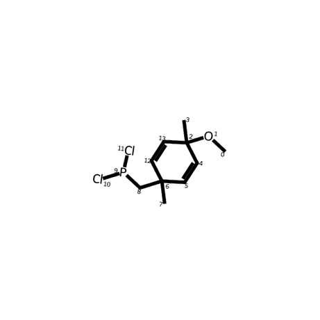 COC1(C)C=CC(C)(CP(Cl)Cl)C=C1